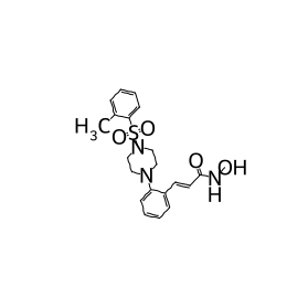 Cc1ccccc1S(=O)(=O)N1CCN(c2ccccc2/C=C/C(=O)NO)CC1